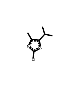 Cc1nc(Cl)sc1C(C)C